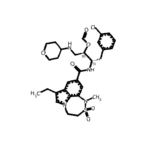 CCc1cn2c3c(cc(C(=O)N[C@@H](Cc4cccc(Cl)c4)[C@@H](CNC4CCOCC4)OC=O)cc13)N(C)S(=O)(=O)CC2